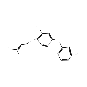 CC(C)c1cc(Oc2cccc(Cl)c2)ccc1OCC=C(Cl)Cl